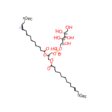 CCCCCCCCCCCC=CCCCCCCCCC(=O)OC[C@H](COP(=O)(O)OC[C@@H](O)[C@@H](O)[C@H](O)[C@H](O)CO)OC(=O)CCCCCCCC/C=C\CCCCCCCCCCC